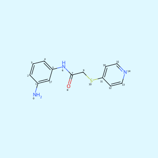 Nc1cccc(NC(=O)CSc2ccncc2)c1